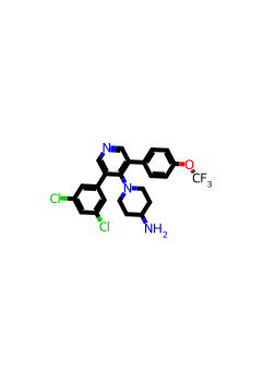 NC1CCN(c2c(-c3ccc(OC(F)(F)F)cc3)cncc2-c2cc(Cl)cc(Cl)c2)CC1